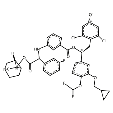 O=C(O[C@@H](Cc1c(Cl)c[n+]([O-])cc1Cl)c1ccc(OC(F)F)c(OCC2CC2)c1)c1cccc(NC(C(=O)O[C@H]2CN3CCC2CC3)c2cccc(F)c2)c1